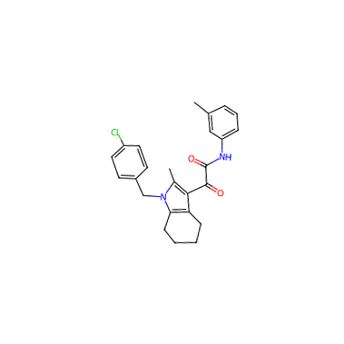 Cc1cccc(NC(=O)C(=O)c2c3c(n(Cc4ccc(Cl)cc4)c2C)CCCC3)c1